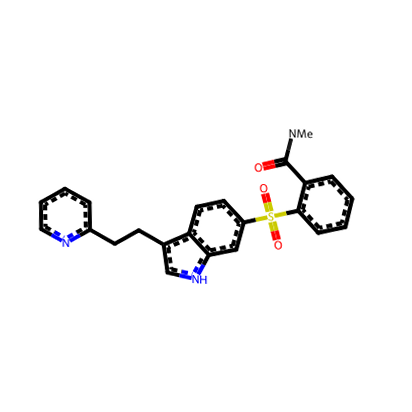 CNC(=O)c1ccccc1S(=O)(=O)c1ccc2c(CCc3ccccn3)c[nH]c2c1